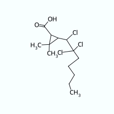 CCCCCC(Cl)(Cl)C(Cl)C1C(C(=O)O)C1(C)C